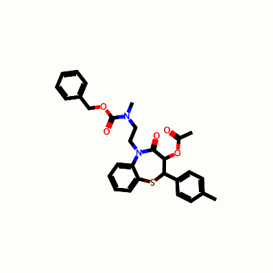 CC(=O)OC1C(=O)N(CCN(C)C(=O)OCc2ccccc2)c2ccccc2SC1c1ccc(C)cc1